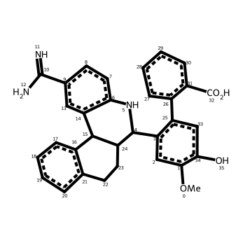 COc1cc(C2Nc3ccc(C(=N)N)cc3C3c4ccccc4CCC23)c(-c2ccccc2C(=O)O)cc1O